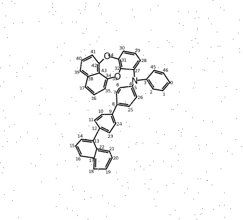 c1ccc(N(c2ccc(-c3ccc(-c4cccc5ccccc45)cc3)cc2)c2cccc3c2Oc2cccc4cccc(c24)O3)cc1